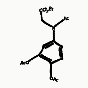 CCOC(=O)CN(C(C)=O)c1ccc(OC(C)=O)c(OC(C)=O)c1